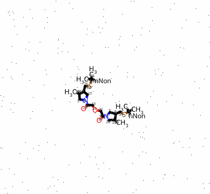 CCCCCCCCCC(C)(C)SCC1CN(C(=O)COCC(=O)N2CC(C)C(CSC(C)(C)CCCCCCCCC)C2)CC1C